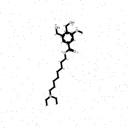 CCN(CC)CCCCCCCCOC(=O)c1cc(CO)c(CO)c(OC)c1